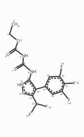 CCOC(=O)NC(=S)Nc1[nH]nc(C(F)F)c1-c1cc(F)c(F)c(F)c1